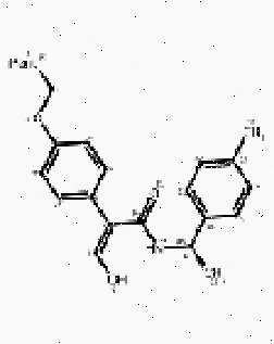 CCC[C@H](C)COc1ccc(C(=CO)C(=O)N[C@H](C)c2ccc(C)cc2)cc1